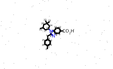 Cc1ccc(Cc2nc3cc(C(=O)O)ccc3n2C2CC(C)CC(C)(C)C2)cc1